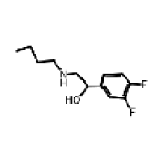 CCCCNCC(O)c1ccc(F)c(F)c1